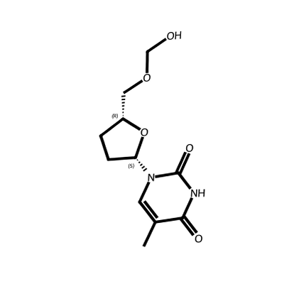 Cc1cn([C@@H]2CC[C@H](COCO)O2)c(=O)[nH]c1=O